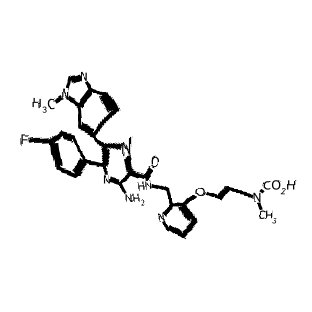 CN(CCOc1cccnc1CNC(=O)c1nc(-c2ccc3ncn(C)c3c2)c(-c2ccc(F)cc2)nc1N)C(=O)O